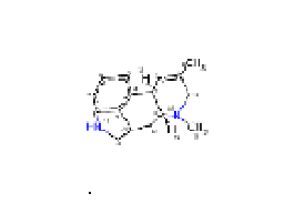 CC1=C[C@@H]2c3cccc4c3C(CN4)C[C@H]2N(C)C1